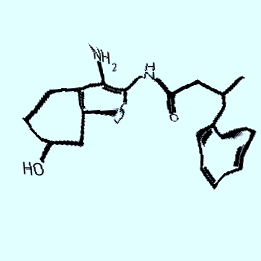 CC(CC(=O)Nc1sc2c(c1N)CCC(O)C2)c1ccccc1